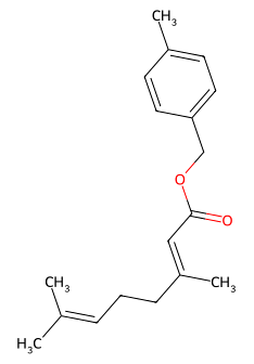 CC(C)=CCC/C(C)=C/C(=O)OCc1ccc(C)cc1